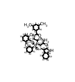 Cc1cc(C)cc(C(=O)N(C)[C@@H](Cc2ccccc2Cl)C(=O)N([C@@H](Cc2c[nH]c3ccccc23)C(N)=O)S(=O)(=O)c2ccccc2)c1